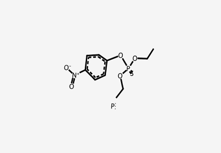 CCOP(=S)(OCC)Oc1ccc([N+](=O)[O-])cc1.[P]